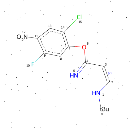 CC(C)(C)N/C=C\C(=N)Oc1cc(F)c([N+](=O)[O-])cc1Cl